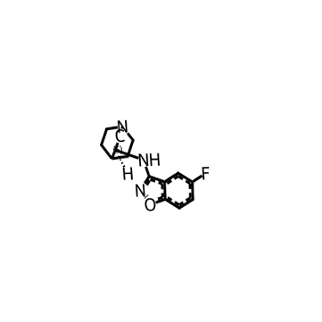 Fc1ccc2onc(N[C@@H]3CN4CCC3CC4)c2c1